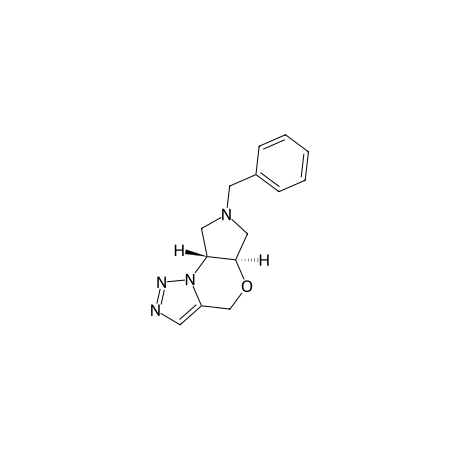 c1ccc(CN2C[C@@H]3[C@@H](C2)OCc2cnnn23)cc1